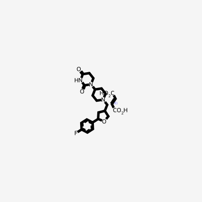 O=C(O)/C=C/C(=O)O.O=C1CCN(C2CCN(CC3COC(c4ccc(F)cc4)C3)CC2)C(=O)N1